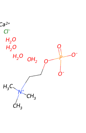 C[N+](C)(C)CCOP(=O)([O-])[O-].O.O.O.O.[Ca+2].[Cl-]